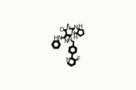 CN1C(=O)c2c(Nc3ccccc3)nn(Cc3ccc(-c4ncccc4F)cc3)c2N2C1=N[C@@H]1CCC[C@@H]12